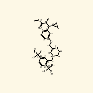 COC(=O)C(C)C(c1cccc(OCC2CN(Cc3cc(C(F)(F)F)ccc3C(F)(F)F)CCO2)c1)C1CC1